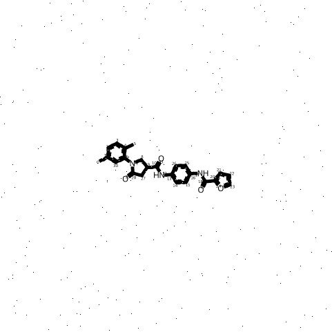 Cc1ccc(C)c(N2CC(C(=O)Nc3ccc(NC(=O)c4ccco4)cc3)CC2=O)c1